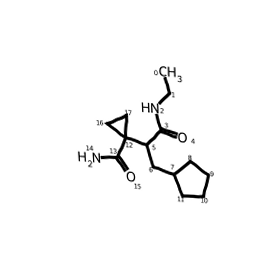 CCNC(=O)C(CC1CCCC1)C1(C(N)=O)CC1